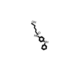 O=C(CCCCCO)Nc1ccc(Nc2ccccc2)cc1